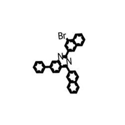 Brc1cc(-c2nc(-c3ccc4ccccc4c3)c3ccc(-c4ccccc4)cc3n2)cc2ccccc12